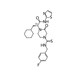 O=C(Nc1nccs1)[C@H](CC1CCCCC1)N1CCN(C(=S)NCc2ccc(F)cc2)CC1=O